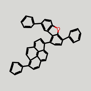 c1ccc(-c2ccc3oc4c(-c5ccccc5)ccc(-c5ccc6ccc7c(-c8ccccc8)ccc8ccc5c6c87)c4c3c2)cc1